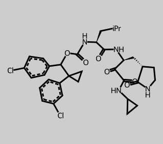 CC(C)C[C@H](NC(=O)OC(c1ccc(Cl)cc1)C1(c2cccc(Cl)c2)CC1)C(=O)N[C@@H](C[C@@H]1CCNC1=O)C(=O)C(=O)NC1CC1